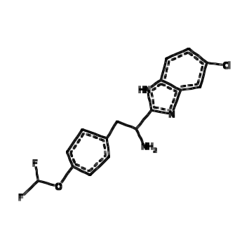 NC(Cc1ccc(OC(F)F)cc1)c1nc2cc(Cl)ccc2[nH]1